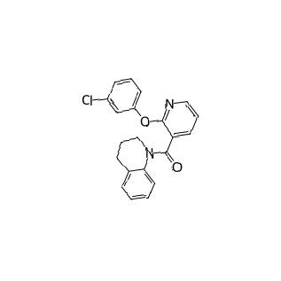 O=C(c1cccnc1Oc1cccc(Cl)c1)N1CCCc2ccccc21